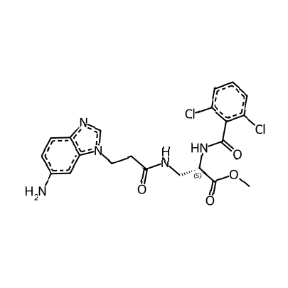 COC(=O)[C@H](CNC(=O)CCn1cnc2ccc(N)cc21)NC(=O)c1c(Cl)cccc1Cl